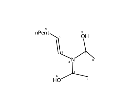 CCCCCC=CN(C(C)O)C(C)O